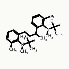 Cc1cccc(CCC(C)c2cccc(C(C)C)c2N(C)C(C)(C)I)c1N(C)C(C)(C)I